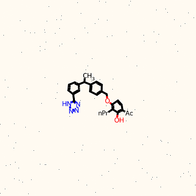 CCCc1c(OCc2ccc(C(C)c3cccc(-c4nnn[nH]4)c3)cc2)ccc(C(C)=O)c1O